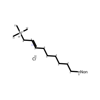 CCCCCCCCCCCCCCC/C=C/C[N+](C)(C)C.[Cl-]